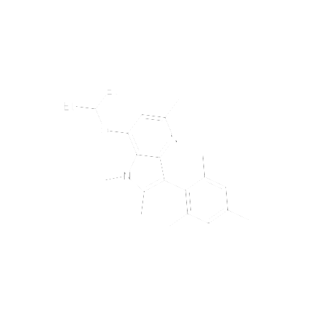 CCC(CC)Oc1cc(C)nc2c(-c3c(C)cc(C)cc3C)c(C)n(C)c12